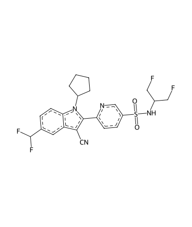 N#Cc1c(-c2ccc(S(=O)(=O)NC(CF)CF)cn2)n(C2CCCC2)c2ccc(C(F)F)cc12